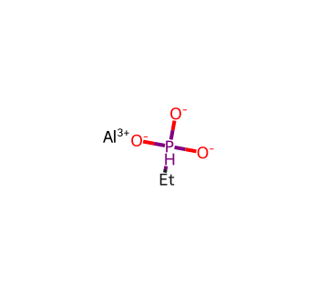 CC[PH]([O-])([O-])[O-].[Al+3]